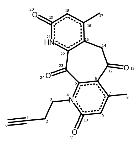 C#CCCn1c2c(c(C)cc1=O)C(=O)Cc1c(C)cc(=O)[nH]c1C2=O